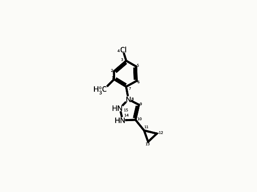 Cc1cc(Cl)ccc1N1C=C(C2CC2)NN1